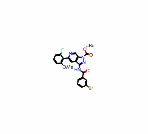 COc1cccc(F)c1-c1cc2c(NC(=O)c3cccc(Br)c3)nn(C(=O)OC(C)(C)C)c2cn1